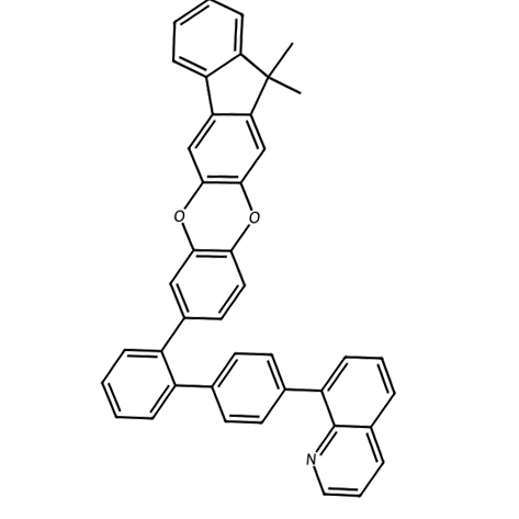 CC1(C)c2ccccc2-c2cc3c(cc21)Oc1ccc(-c2ccccc2-c2ccc(-c4cccc5cccnc45)cc2)cc1O3